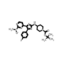 C[S+]([O-])c1nccc(-c2sc(NC3CCN(C(=O)OC(C)(C)C)CC3)nc2-c2ccc(F)cc2)n1